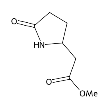 COC(=O)CC1CCC(=O)N1